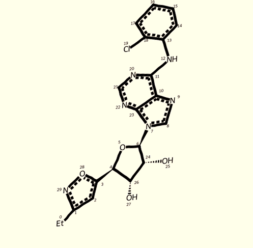 CCc1cc([C@H]2O[C@@H](n3cnc4c(Nc5ccccc5Cl)ncnc43)[C@H](O)[C@@H]2O)on1